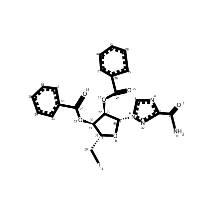 NC(=O)c1ncn([C@@H]2O[C@H](CI)[C@@H](OC(=O)c3ccccc3)[C@H]2OC(=O)c2ccccc2)n1